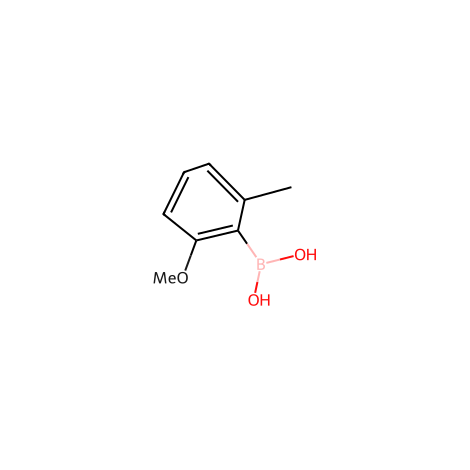 COc1cccc(C)c1B(O)O